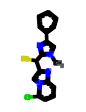 Cn1cc(-c2ccccc2)nc1C(S)c1cn2c(Cl)cccc2n1